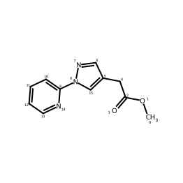 COC(=O)Cc1cnn(-c2ccccn2)c1